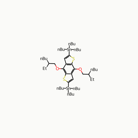 CCCCC(CC)COc1c2c[c]([Sn]([CH2]CCC)([CH2]CCC)[CH2]CCC)sc2c(OCC(CC)CCCC)c2c[c]([Sn]([CH2]CCC)([CH2]CCC)[CH2]CCC)sc12